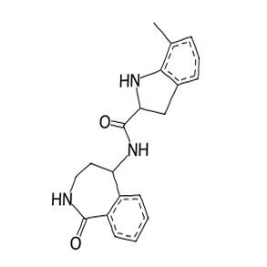 Cc1cccc2c1NC(C(=O)NC1CCNC(=O)c3ccccc31)C2